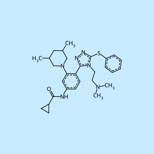 CC1CC(C)CN(c2cc(NC(=O)C3CC3)ccc2-c2nnc(Sc3ccccc3)n2CCN(C)C)C1